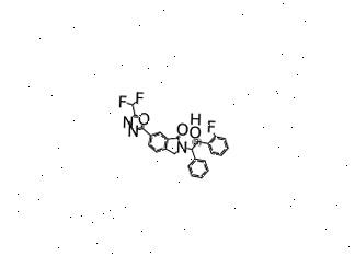 O=C1c2cc(-c3nnc(C(F)F)o3)ccc2CN1C(c1ccccc1)[C@H](O)c1ccccc1F